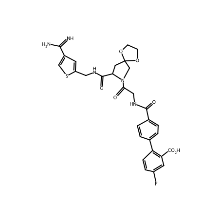 N=C(N)c1csc(CNC(=O)C2CC3(CN2C(=O)CNC(=O)c2ccc(-c4ccc(F)cc4C(=O)O)cc2)OCCO3)c1